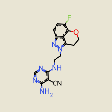 N#Cc1c(N)ncnc1NCCn1nc2ccc(F)c3c2c1CCO3